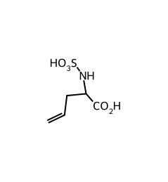 C=CCC(NS(=O)(=O)O)C(=O)O